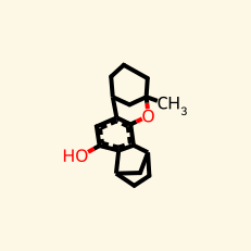 CC12CCCC(C1)c1cc(O)c3c(c1O2)C1CCC3C1